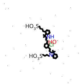 CC1(C)C(C=CC2=C(Cl)C(=CC=C3Nc4cccc(CCCCS(=O)(=O)O)c4C3(C)C)CCC2)=[N+](CCCCS(=O)(=O)O)c2ccccc21.[OH-]